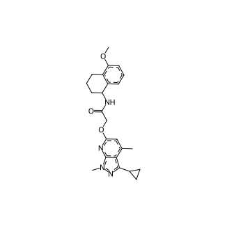 COc1cccc2c1CCCC2NC(=O)COc1cc(C)c2c(C3CC3)nn(C)c2n1